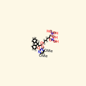 COc1cc(OC)nc(O[C@H](C(=O)OCCCCC(CON(O)O)ON(O)O)C(C)(c2ccccc2)c2ccccc2)n1